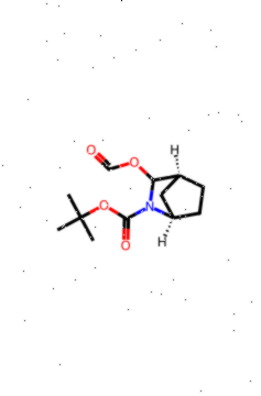 CC(C)(C)OC(=O)N1C(OC=O)[C@H]2CC[C@@H]1C2